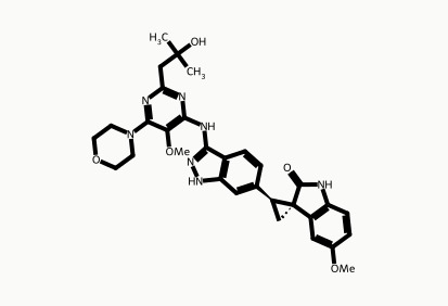 COc1ccc2c(c1)[C@]1(C[C@H]1c1ccc3c(Nc4nc(CC(C)(C)O)nc(N5CCOCC5)c4OC)n[nH]c3c1)C(=O)N2